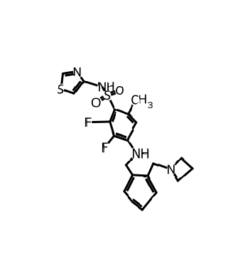 Cc1cc(NCc2ccccc2CN2CCC2)c(F)c(F)c1S(=O)(=O)Nc1cscn1